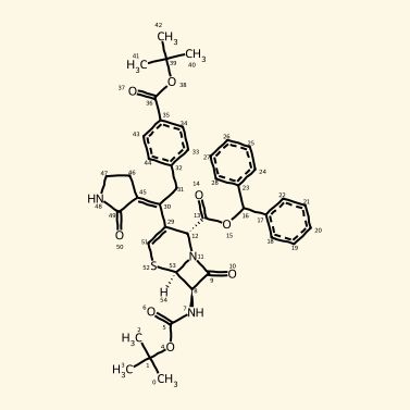 CC(C)(C)OC(=O)N[C@@H]1C(=O)N2[C@@H](C(=O)OC(c3ccccc3)c3ccccc3)C(C(Cc3ccc(C(=O)OC(C)(C)C)cc3)=C3CCNC3=O)=CS[C@H]12